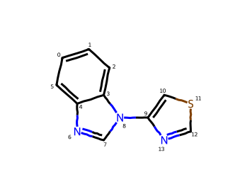 c1ccc2c(c1)ncn2-c1cscn1